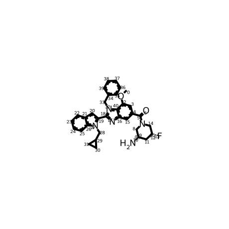 COc1cc(C(=O)N2C[C@H](N)C[C@@H](F)C2)cc2nc(-c3cc4ccccc4n3CC3CC3)n(Cc3ccccc3)c12